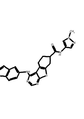 Cn1cc(NC(=O)C2CCc3c(sc4ncnc(Nc5ccc6[nH]ncc6c5)c34)C2)cn1